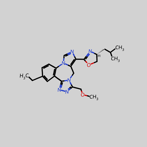 CCc1ccc2c(c1)-c1nnc(COC)n1Cc1c(C3=N[C@H](CC(C)C)CO3)ncn1-2